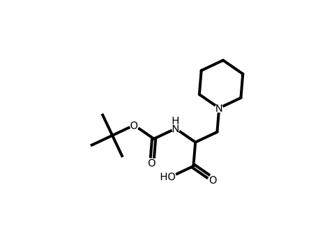 CC(C)(C)OC(=O)NC(CN1CCCCC1)C(=O)O